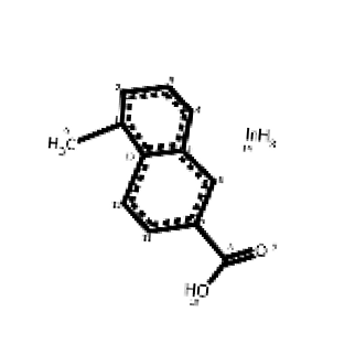 Cc1cccc2cc(C(=O)O)ccc12.[InH3]